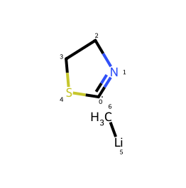 [C]1=NCCS1.[Li][CH3]